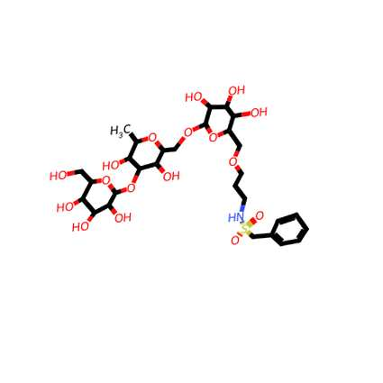 CC1OC(COC2OC(COCCCNS(=O)(=O)Cc3ccccc3)C(O)C(O)C2O)C(O)C(OC2OC(CO)C(O)C(O)C2O)C1O